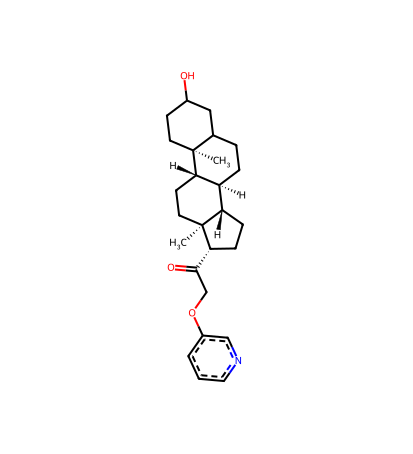 C[C@]12CC[C@H]3[C@@H](CCC4CC(O)CC[C@@]43C)[C@@H]1CC[C@@H]2C(=O)COc1cccnc1